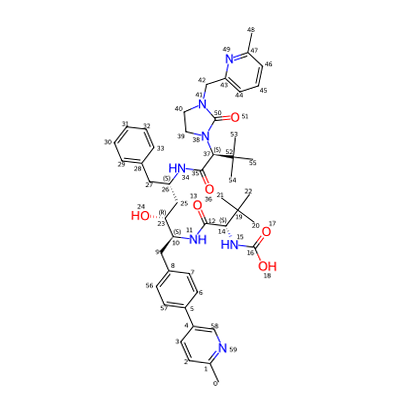 Cc1ccc(-c2ccc(C[C@H](NC(=O)[C@@H](NC(=O)O)C(C)(C)C)[C@H](O)C[C@H](Cc3ccccc3)NC(=O)[C@@H](N3CCN(Cc4cccc(C)n4)C3=O)C(C)(C)C)cc2)cn1